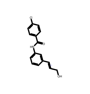 O=C(Nc1cccc(/C=C/CO)c1)c1ccc(Cl)cc1